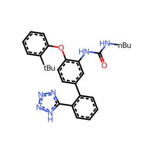 CCCCNC(=O)Nc1cc(-c2ccccc2-c2nnn[nH]2)ccc1Oc1ccccc1C(C)(C)C